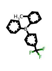 Cc1ccccc1B(c1ccccc1)c1ccc(C(F)(F)F)cc1